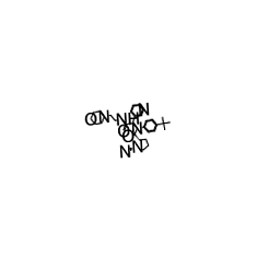 CC(C)(C)c1ccc(N(C(=O)[C@H]2CCCN2C#N)C(C(=O)NCCN2CCOCC2)c2cccnc2)cc1